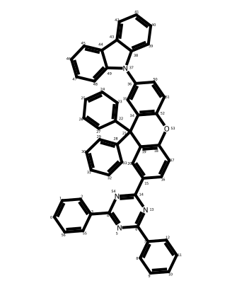 c1ccc(-c2nc(-c3ccccc3)nc(-c3ccc4c(c3)C(c3ccccc3)(c3ccccc3)c3cc(-n5c6ccccc6c6ccccc65)ccc3O4)n2)cc1